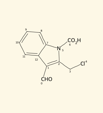 O=Cc1c(CCl)n(C(=O)O)c2ccccc12